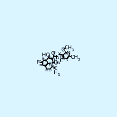 COc1nc(C)cc(C)c1CNC(=O)c1c(O)c2cc(F)cc3c2n(c1=O)C(C)CC3